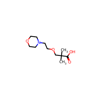 CC(C)(COCCN1CCOCC1)C(=O)O